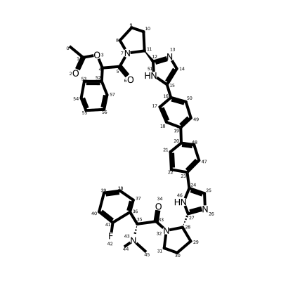 CC(=O)OC(C(=O)N1CCC[C@H]1c1ncc(-c2ccc(-c3ccc(-c4cnc([C@@H]5CCCN5C(=O)[C@@H](c5ccccc5F)N(C)C)[nH]4)cc3)cc2)[nH]1)c1ccccc1